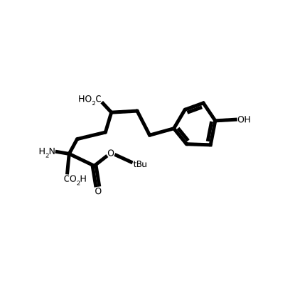 CC(C)(C)OC(=O)C(N)(CCC(CCc1ccc(O)cc1)C(=O)O)C(=O)O